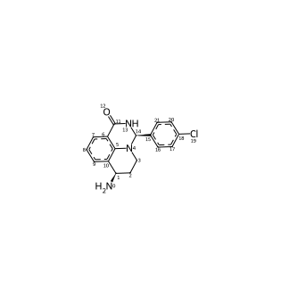 N[C@@H]1CCN2c3c(cccc31)C(=O)N[C@H]2c1ccc(Cl)cc1